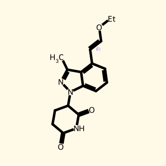 CCO/C=C/c1cccc2c1c(C)nn2C1CCC(=O)NC1=O